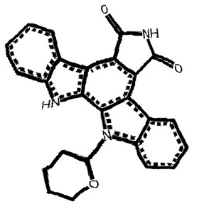 O=C1NC(=O)c2c1c1c3ccccc3[nH]c1c1c2c2ccccc2n1C1CCCCO1